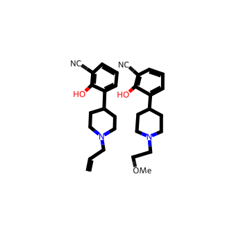 C=CCN1CCC(c2cccc(C#N)c2O)CC1.COCCN1CCC(c2cccc(C#N)c2O)CC1